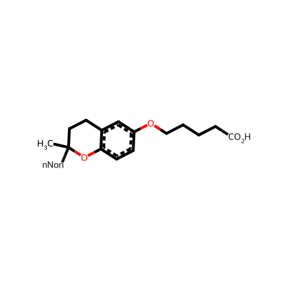 CCCCCCCCCC1(C)CCc2cc(OCCCCC(=O)O)ccc2O1